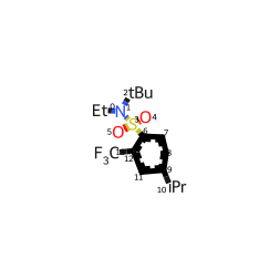 CCN(C(C)(C)C)S(=O)(=O)c1ccc(C(C)C)cc1C(F)(F)F